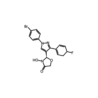 O=C1CO[C@H](c2cn(-c3ccc(Br)cc3)nc2C2=CCC(F)C=C2)N1O